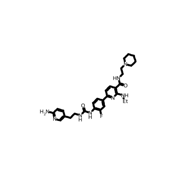 CCNc1nc(-c2ccc(NC(=O)NCCc3ccc(N)nc3)c(F)c2)ccc1C(=O)NCCN1CCCCC1